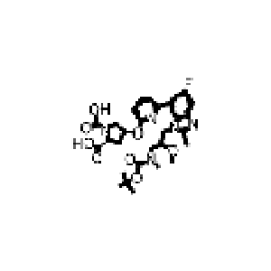 COC(CN(C)C(=O)OC(C)(C)C)Cn1c(C)nc2cc(F)cc(-c3cccc(O[C@H]4C[C@@H](C(=O)O)N(C(=O)O)C4)n3)c21